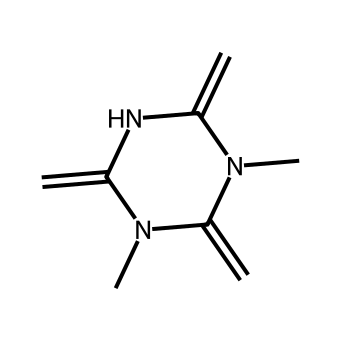 C=C1NC(=C)N(C)C(=C)N1C